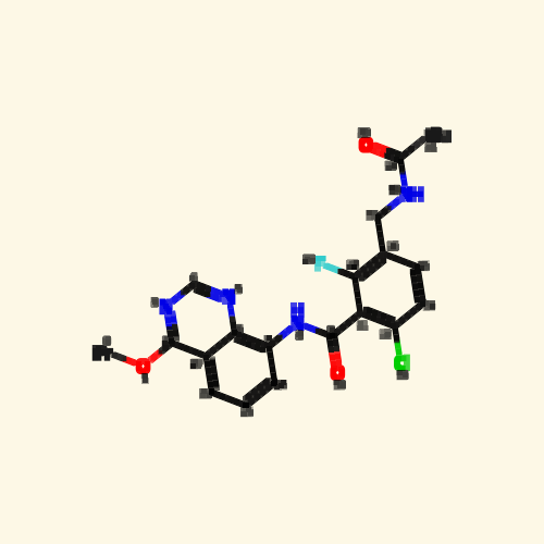 CC(C)Oc1ncnc2c(NC(=O)c3c(Cl)ccc(CNC(=O)C(C)(C)C)c3F)cccc12